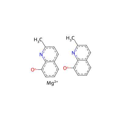 Cc1ccc2cccc([O-])c2n1.Cc1ccc2cccc([O-])c2n1.[Mg+2]